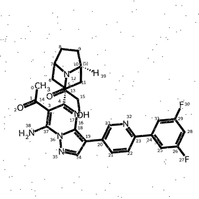 CC(=O)c1c([C@@H]2CC3CC[C@@H](C2)N3C(=O)CO)nc2c(-c3ccc(-c4cc(F)cc(F)c4)nc3)cnn2c1N